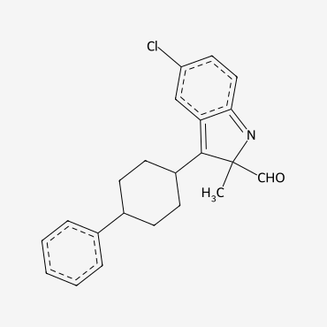 CC1(C=O)N=c2ccc(Cl)cc2=C1C1CCC(c2ccccc2)CC1